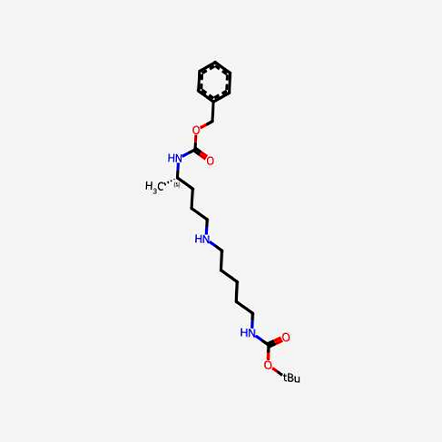 C[C@@H](CCCNCCCCCNC(=O)OC(C)(C)C)NC(=O)OCc1ccccc1